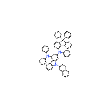 c1ccc(N(c2cc(N(c3ccccc3)c3ccccc3)c3c4ccccc4n(-c4ccc5ccccc5c4)c3c2)c2cccc3c2-c2ccccc2C3(c2ccccc2)c2ccccc2)cc1